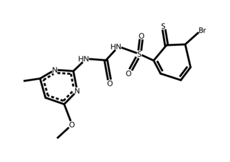 COc1cc(C)nc(NC(=O)NS(=O)(=O)C2=CC=CC(Br)C2=S)n1